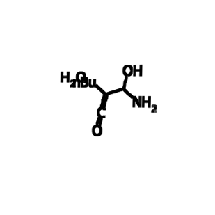 CCCCC(=C=O)C(N)O.O